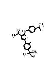 CC(=O)c1ccc(Nc2sc(-c3ccc(C(C)(C)OF)cc3F)cc2C(N)=O)cc1